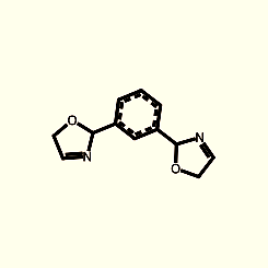 C1=NC(c2cccc(C3N=CCO3)c2)OC1